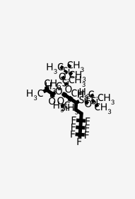 C=C(C)C(=O)OC(O[SiH3])(O[Si](C)(C)O[Si](C)(C)C)C(C)(C)C(CCC(F)(F)C(F)(F)C(F)(F)F)[SiH2]O[Si](C)(C)C